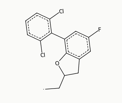 [CH2]CC1Cc2cc(F)cc(-c3c(Cl)cccc3Cl)c2O1